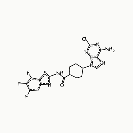 Nc1nc(Cl)nc2c1ncn2C1CCC(C(=O)Nc2nc3cc(F)c(F)c(F)c3s2)CC1